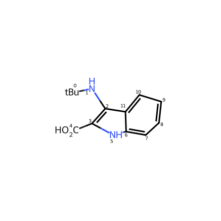 CC(C)(C)Nc1c(C(=O)O)[nH]c2ccccc12